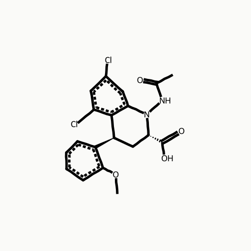 COc1ccccc1[C@@H]1C[C@@H](C(=O)O)N(NC(C)=O)c2cc(Cl)cc(Cl)c21